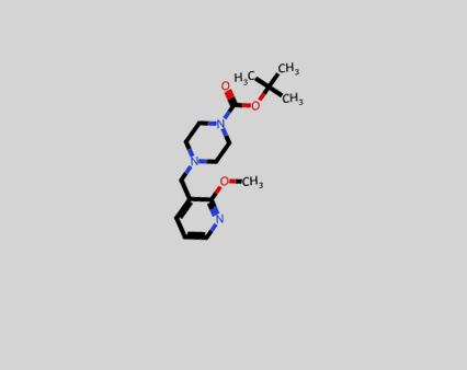 COc1ncccc1CN1CCN(C(=O)OC(C)(C)C)CC1